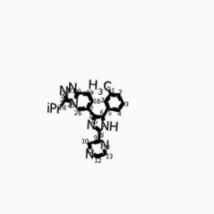 Cc1cccc(-c2[nH]c(-c3cnccn3)nc2-c2ccc3nnc(C(C)C)n3c2)c1